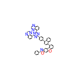 c1ccc(-c2nc3cc4c(cc3o2)oc2cccc(-c3ccc(-c5ccc(-c6nc(-c7cccc8nccnc78)nc(-c7cccc8nccnc78)n6)cc5)c5ccccc35)c24)cc1